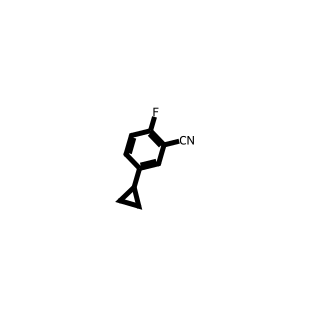 N#Cc1cc(C2CC2)ccc1F